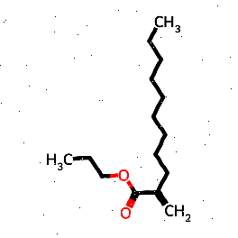 C=C(CCCCCCCCC)C(=O)OCCC